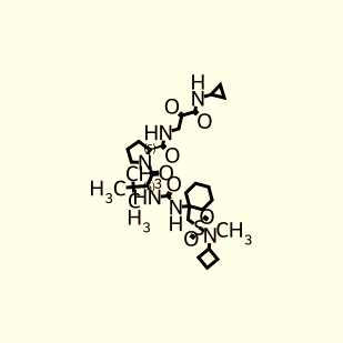 CN(C1CCC1)S(=O)(=O)CC1(NC(=O)N[C@H](C(=O)N2CCC[C@H]2C(=O)NCC(=O)C(=O)NC2CC2)C(C)(C)C)CCCCC1